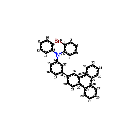 Brc1ccccc1N(c1ccccc1)c1cccc(-c2ccc3c4ccccc4c4ccccc4c3c2)c1